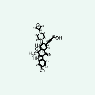 CC1(C)c2cc(N3CCN(C4COC4)CC3)c(C#CCO)cc2C(=O)c2c1[nH]c1cc(C#N)ccc21